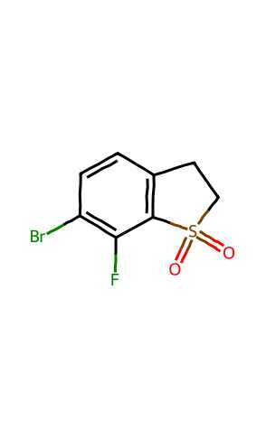 O=S1(=O)CCc2ccc(Br)c(F)c21